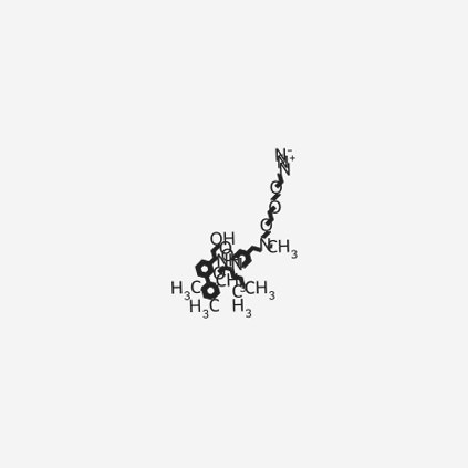 Cc1cc(C)c(-c2cccc(C(CC(=O)O)NC(=O)C(CCC(C)C)n3ccc(CCN(C)CCOCCOCCOCCN=[N+]=[N-])cc3=O)c2)c(C)c1